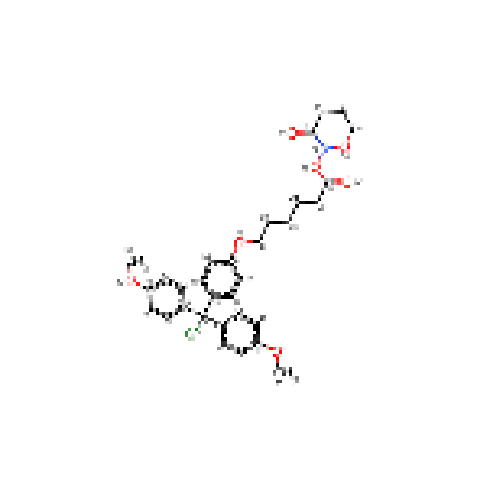 COc1ccc(C(Cl)(c2ccc(OC)cc2)c2ccc(OCCCCCC(=O)ON3OCCCC3=O)cc2)cc1